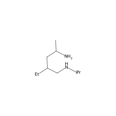 CCC(CNC(C)C)CC(C)N